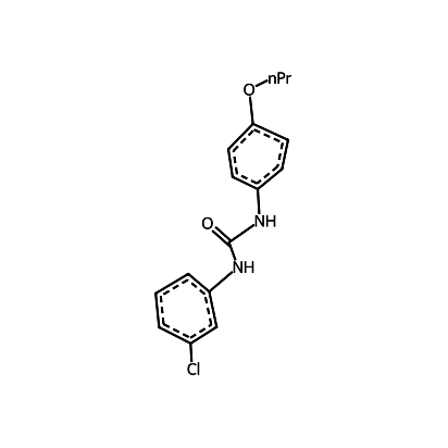 CCCOc1ccc(NC(=O)Nc2cccc(Cl)c2)cc1